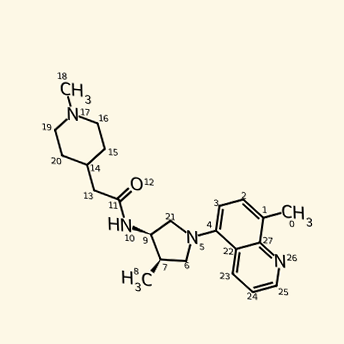 Cc1ccc(N2C[C@@H](C)[C@@H](NC(=O)CC3CCN(C)CC3)C2)c2cccnc12